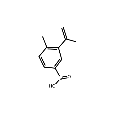 C=C(C)c1cc(S(=O)O)ccc1C